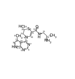 Cc1c[nH]c2ncnc(N3C=C(C(=O)NC[C@H](C)N)SCC3)c12.Cl